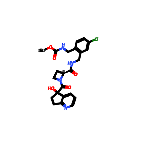 CC(C)(C)OC(=O)NCc1ccc(Cl)cc1CNC(=O)[C@@H]1CCN1C(=O)C1(O)CCc2ncccc21